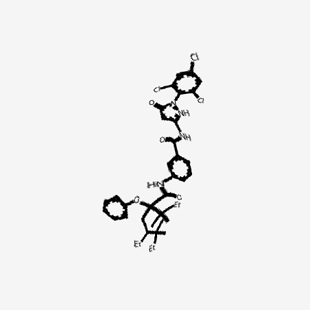 CCC(CC(Oc1ccccc1)(C(=O)Nc1cccc(C(=O)Nc2cc(=O)n(-c3c(Cl)cc(Cl)cc3Cl)[nH]2)c1)C(C)(C)CC)C(C)(C)CC